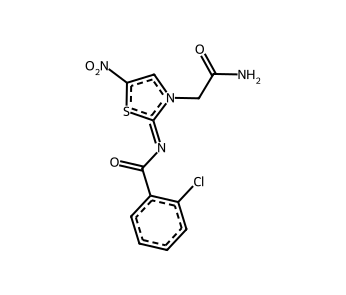 NC(=O)Cn1cc([N+](=O)[O-])sc1=NC(=O)c1ccccc1Cl